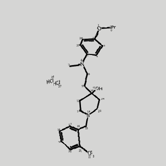 CC(C)Oc1ccc(N(C)CCC2(O)CCN(Cc3ccccc3C(F)(F)F)CC2)cc1.Cl.Cl